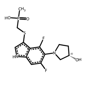 CP(=O)(O)CSc1c[nH]c2cc(F)c(N3CC[C@H](O)C3)c(F)c12